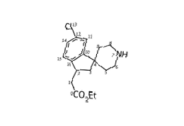 CCOC(=O)CC1CC2(CCNCC2)c2cc(Cl)ccc21